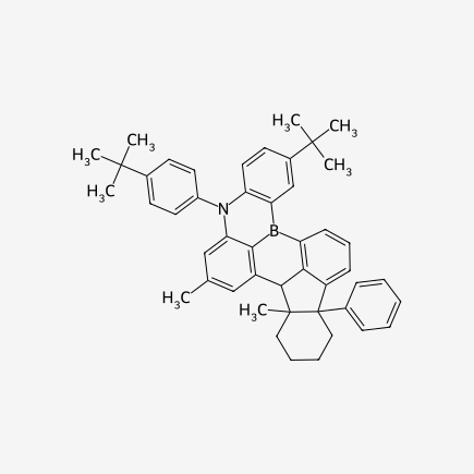 Cc1cc2c3c(c1)N(c1ccc(C(C)(C)C)cc1)c1ccc(C(C)(C)C)cc1B3c1cccc3c1C2C1(C)CCCCC31c1ccccc1